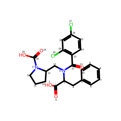 O=C(O)C(Cc1ccccc1)N(CC1CCCN1C(=O)O)C(=O)c1ccc(Cl)cc1Cl